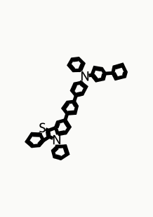 c1ccc(-c2ccc(N(c3ccccc3)c3ccc(-c4ccc(-c5ccc6c(c5)c5sc7ccccc7c5n6-c5ccccc5)cc4)cc3)cc2)cc1